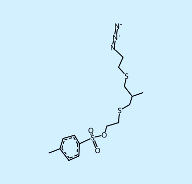 Cc1ccc(S(=O)(=O)OCCSCC(C)CSCCN=[N+]=[N-])cc1